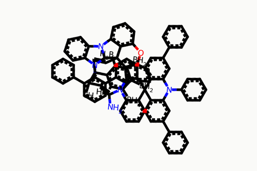 Bc1c(B)c(B)c(C2=C(C)\C=C(/N)N3c4ccccc4C4(c5ccc(-c6ccccc6)cc5N(c5ccccc5)c5cc(-c6ccccc6)ccc54)c4ccc5c(c43)C3(\C=C\2)c2c(cccc2N2c4ccccc4N(c4c(-c6ccccc6)cccc4-c4ccccc4)C23)O5)c(B)c1B